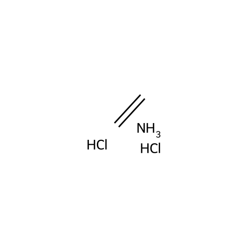 C=C.Cl.Cl.N